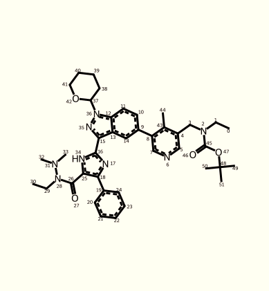 CCN(Cc1cncc(-c2ccc3c(c2)c(-c2nc(-c4ccccc4)c(C(=O)N(CC)N(C)C)[nH]2)nn3C2CCCCO2)c1C)C(=O)OC(C)(C)C